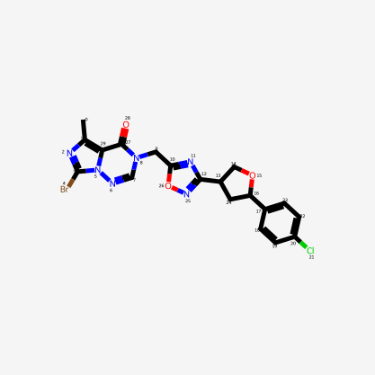 Cc1nc(Br)n2ncn(Cc3nc(C4COC(c5ccc(Cl)cc5)C4)no3)c(=O)c12